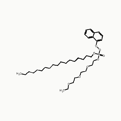 CCCCCCCCCCCCCCCCCCOP(=O)(OCCOCCOCCOCC)OOc1cccc2ccccc12